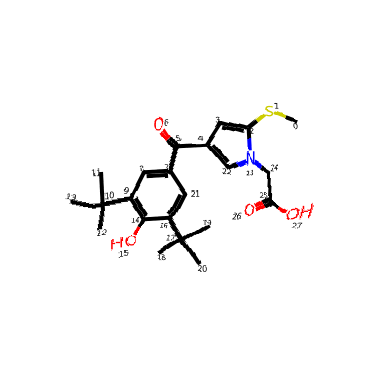 CSc1cc(C(=O)c2cc(C(C)(C)C)c(O)c(C(C)(C)C)c2)cn1CC(=O)O